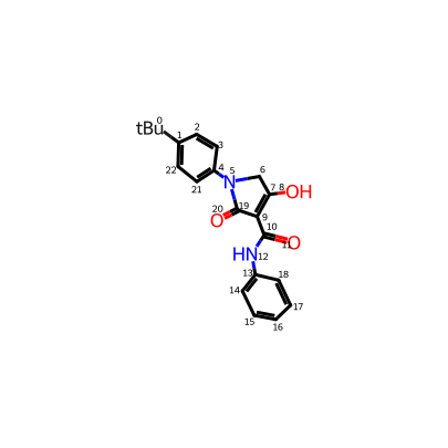 CC(C)(C)c1ccc(N2CC(O)=C(C(=O)Nc3ccccc3)C2=O)cc1